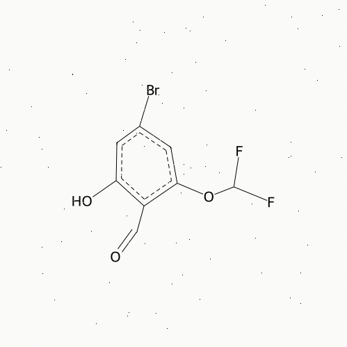 O=Cc1c(O)cc(Br)cc1OC(F)F